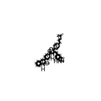 CN(C)/C=C/CN1CCN(C(=O)C(Cc2ccc3[nH]ncc3c2)NC(=O)N2CCC(N3Cc4ccccc4NC3=O)CC2)CC1